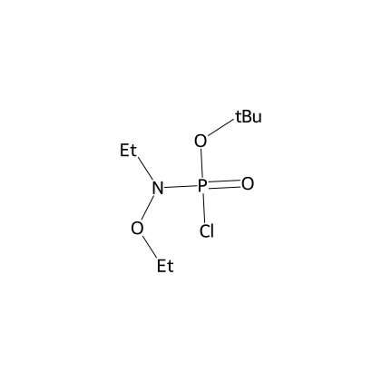 CCON(CC)P(=O)(Cl)OC(C)(C)C